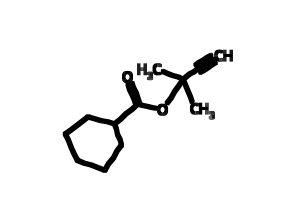 C#CC(C)(C)OC(=O)C1CCCCC1